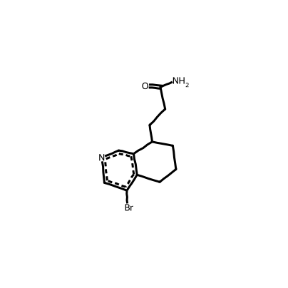 NC(=O)CCC1CCCc2c(Br)cncc21